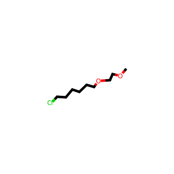 COCCOCCCCCCCl